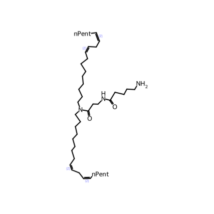 CCCCC/C=C\C/C=C\CCCCCCCCN(CCCCCCCC/C=C\C/C=C\CCCCC)C(=O)CCNC(=O)CCCCN